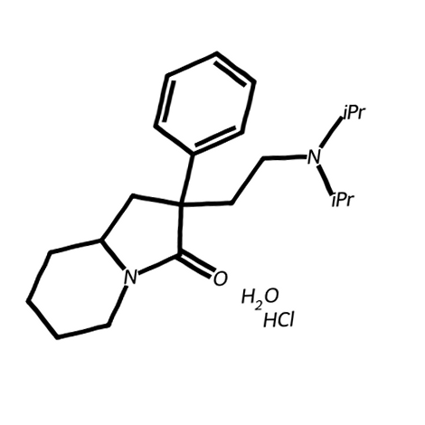 CC(C)N(CCC1(c2ccccc2)CC2CCCCN2C1=O)C(C)C.Cl.O